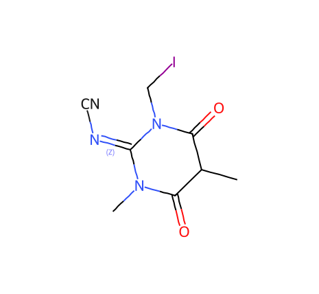 CC1C(=O)N(C)/C(=N/C#N)N(CI)C1=O